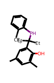 CCC(CC)(Pc1ccccc1C(F)(F)F)c1cc(C)cc(C)c1O